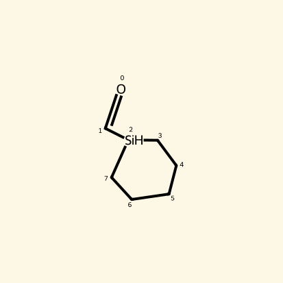 O=C[SiH]1CCCCC1